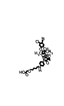 CC1(C)C(NC(=O)C2(C(=O)Nc3ccc(NCCCCCOCC(=O)O)cc3)CC2)C(C)(C)C1Oc1ccc(C#N)c(Cl)c1